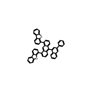 c1ccc(-c2cc(-c3c4cccc(-c5cccc6c5sc5ccccc56)c4cc4c(-c5cccc6c5sc5ccccc56)cccc34)c3ccccc3c2)cc1